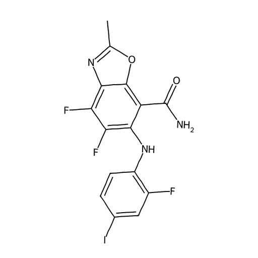 Cc1nc2c(F)c(F)c(Nc3ccc(I)cc3F)c(C(N)=O)c2o1